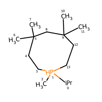 CC(C)[PH]1(C)CCC(C)(C)CC(C)(C)CC1